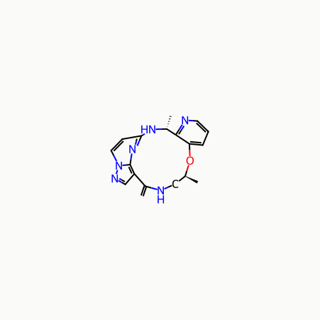 C=C1NC[C@H](C)Oc2cccnc2[C@@H](C)Nc2ccn3ncc1c3n2